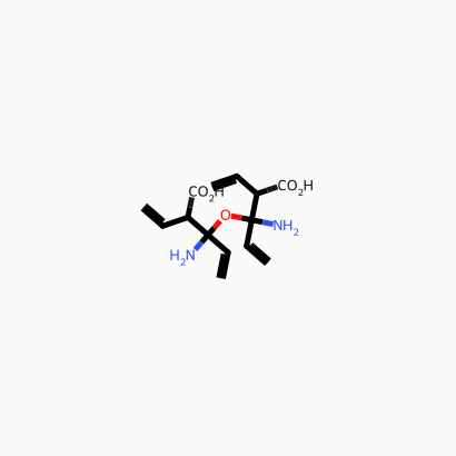 C=CC(C(=O)O)C(N)(C=C)OC(N)(C=C)C(C=C)C(=O)O